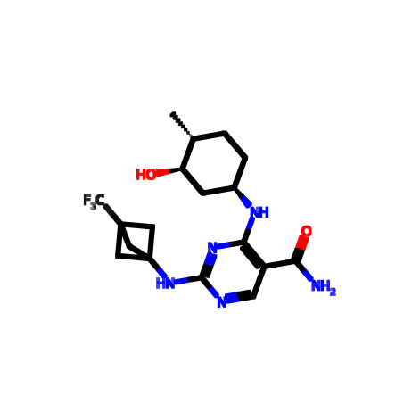 C[C@@H]1CC[C@@H](Nc2nc(NC34CC(C(F)(F)F)(C3)C4)ncc2C(N)=O)C[C@H]1O